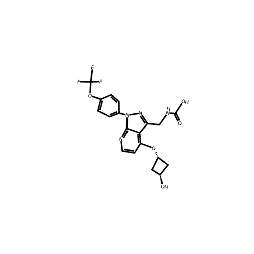 O=C(O)NCc1nn(-c2ccc(OC(F)(F)F)cc2)c2nccc(O[C@H]3C[C@H](O)C3)c12